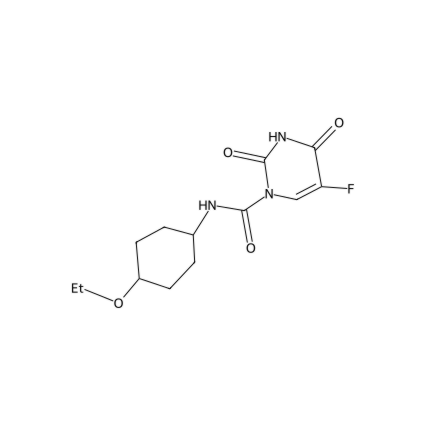 CCOC1CCC(NC(=O)n2cc(F)c(=O)[nH]c2=O)CC1